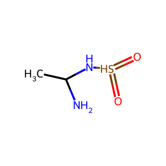 CC(N)N[SH](=O)=O